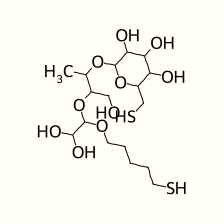 CC(OC1OC(CS)C(O)C(O)C1O)C(CO)OC(OCCCCCS)C(O)O